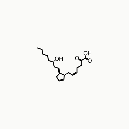 CCCCC[C@H](O)C/C=C1\CC=C[C@@H]1C/C=C\CCC(=O)C(=O)O